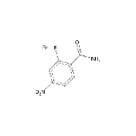 NC(=O)c1ccc([N+](=O)[O-])cc1F.[Fe]